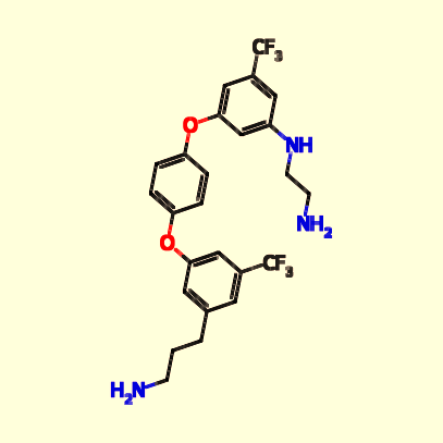 NCCCc1cc(Oc2ccc(Oc3cc(NCCN)cc(C(F)(F)F)c3)cc2)cc(C(F)(F)F)c1